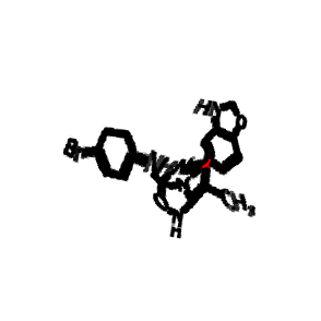 CC1=C2NOC(Nc3ccc(Br)cc3)(N=C1)N2c1ccc2c(c1)NCO2